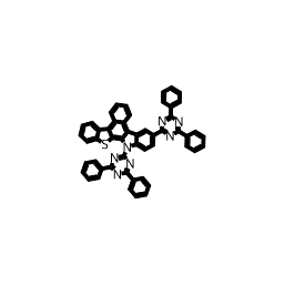 c1ccc(-c2nc(-c3ccccc3)nc(-c3ccc4c(c3)c3c5ccccc5c5c6ccccc6sc5c3n4-c3nc(-c4ccccc4)nc(-c4ccccc4)n3)n2)cc1